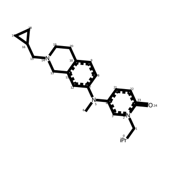 CC(C)Cn1cc(N(C)c2ccc3c(c2)CN(CC2CC2)CC3)ccc1=O